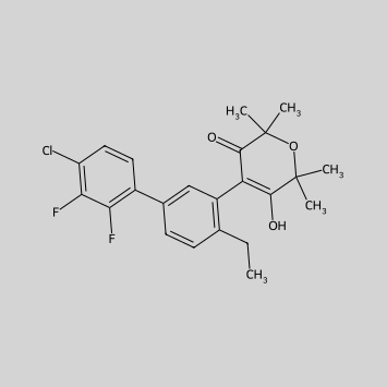 CCc1ccc(-c2ccc(Cl)c(F)c2F)cc1C1=C(O)C(C)(C)OC(C)(C)C1=O